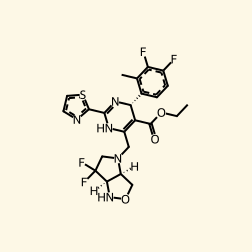 CCOC(=O)C1=C(CN2CC(F)(F)[C@@H]3NOC[C@@H]32)NC(c2nccs2)=N[C@@H]1c1ccc(F)c(F)c1C